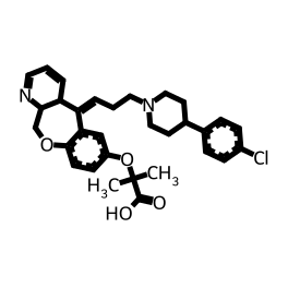 CC(C)(Oc1ccc2c(c1)C(=CCCN1CCC(c3ccc(Cl)cc3)CC1)C1C=CC=NC1CO2)C(=O)O